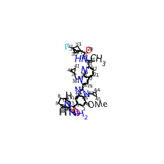 COc1cc(C(=O)N2[C@H]3CC[C@@H]2[C@H](N)C3)cc2nc(-c3cc4ccc([C@@H](C)NC(=O)C56CC(F)(C5)C6)nc4n3CC3CC3)n(C3CC3)c12